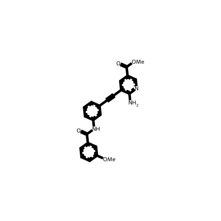 COC(=O)c1cnc(N)c(C#Cc2cccc(NC(=O)c3cccc(OC)c3)c2)c1